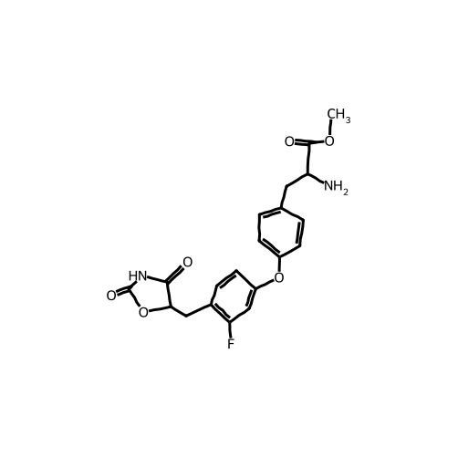 COC(=O)C(N)Cc1ccc(Oc2ccc(CC3OC(=O)NC3=O)c(F)c2)cc1